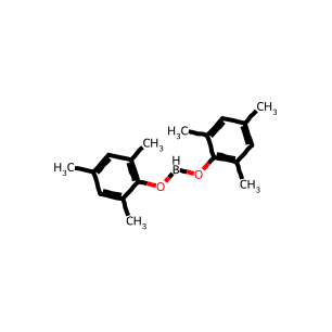 Cc1cc(C)c(OBOc2c(C)cc(C)cc2C)c(C)c1